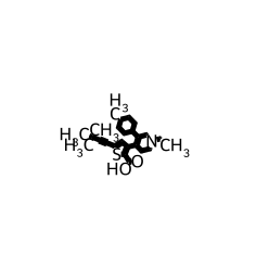 CCN1CCC(c2cc(C#CC(C)(C)C)sc2C(=O)O)=C(C2CCC(C)CC2)C1